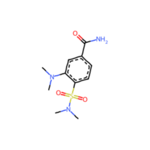 CN(C)c1cc(C(N)=O)ccc1S(=O)(=O)N(C)C